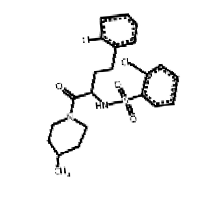 CC1CCN(C(=O)C(CCc2ccccc2Cl)NS(=O)(=O)c2ccccc2Cl)CC1